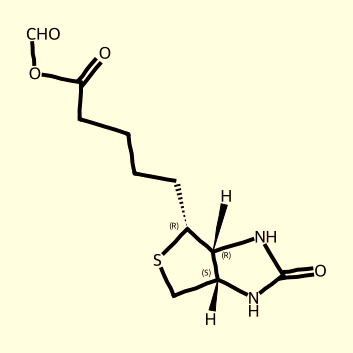 O=COC(=O)CCCC[C@H]1SC[C@H]2NC(=O)N[C@H]21